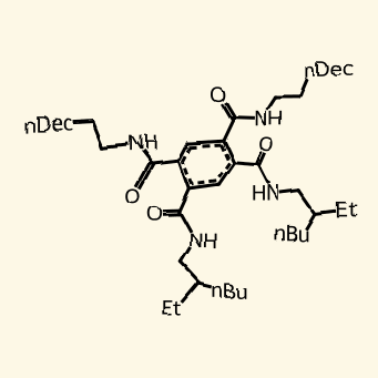 CCCCCCCCCCCCNC(=O)c1cc(C(=O)NCCCCCCCCCCCC)c(C(=O)NCC(CC)CCCC)cc1C(=O)NCC(CC)CCCC